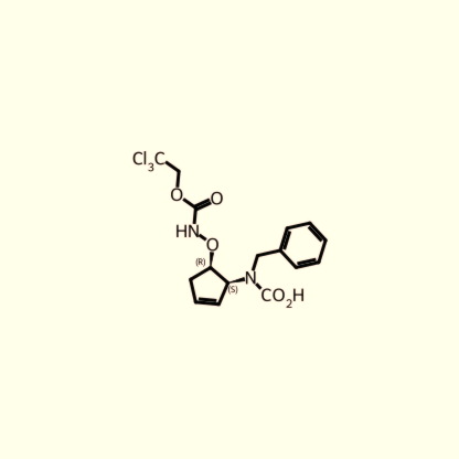 O=C(NO[C@@H]1CC=C[C@@H]1N(Cc1ccccc1)C(=O)O)OCC(Cl)(Cl)Cl